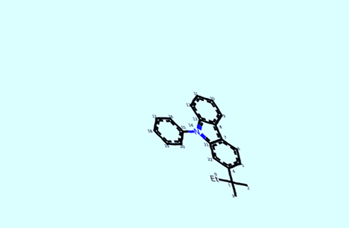 CCC(C)(C)c1ccc2c3ccccc3n(-c3ccccc3)c2c1